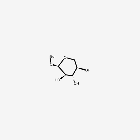 CCC(C)O[C@H]1OC[C@@H](O)[C@H](O)[C@H]1O